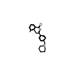 Cc1cccc2c1CC(c1ccc(CN3CCCCC3)cc1)=NC2=O